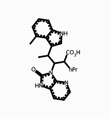 CCCC(C(=O)O)C(C(C)c1c[nH]c2cccc(C)c12)n1c(=O)[nH]c2cccnc21